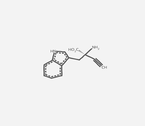 C#C[C@](N)(Cc1c[nH]c2ccccc12)C(=O)O